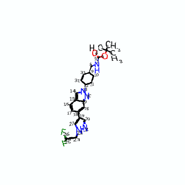 CC(C)(C)OC(=O)NC[C@H]1CC[C@H](n2cc3ccc(-c4cnn(CC(F)F)c4)cc3n2)CC1